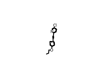 CCCOc1ccc(C#Cc2ccc(Cl)cn2)cc1